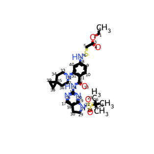 CCOC(=O)CSNc1ccc(C(=O)Nc2ncc3c(n2)N(S(=O)(=O)C(C)(C)C)CC3)c(N2CCC3(CC2)CC3)c1